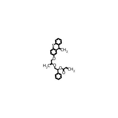 C=CC(=O)OC(COC(=C)COc1ccc2c(c1)C(=C)c1ccccc1S2)c1ccccc1